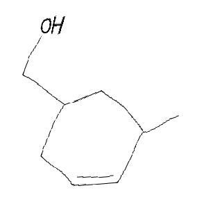 CC1C=CCC(CO)C1